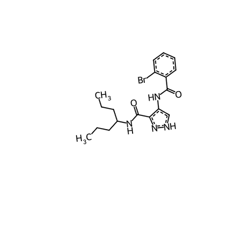 CCCC(CCC)NC(=O)c1n[nH]cc1NC(=O)c1ccccc1Br